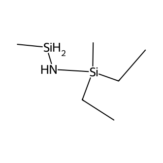 CC[Si](C)(CC)N[SiH2]C